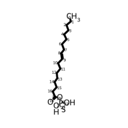 CCCCCCCCC=CCCCCCCCC(=O)OP(O)(O)=S